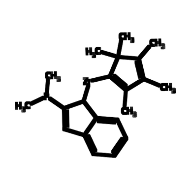 CC1=C(C)C(C)(C)[C]([Zr][CH]2C(P(C)C)=Cc3ccccc32)=C1C